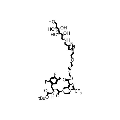 CC(C)(C)OC(=O)N[C@@H](CC(=O)N1CCn2c(C(F)(F)F)nc(C(=O)OCCOCCOCCn3cc(CNC[C@H](O)[C@@H](O)[C@H](O)[C@H](O)CO)nn3)c2C1)Cc1cc(F)c(F)cc1F